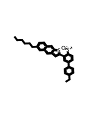 CCCCCCc1ccc2cc3sc(-c4cc(-c5ccc(CC)cc5)ccc4[S+](C)[O-])cc3cc2c1